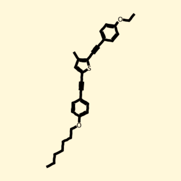 CCCCCCCOc1ccc(C#Cc2cc(C)c(C#Cc3ccc(OCC)cc3)s2)cc1